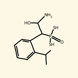 CC(C)c1ccccc1C(C(N)O)P(=O)(S)S